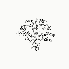 CC(C)OC(=O)C(C)(C)Oc1ccc(C(=O)c2ccc(Cl)cc2)cc1.COc1ccc(Cc2nccc3cc(OC)c(OC)cc23)cc1OC.NNC(=O)c1ccncc1